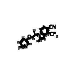 Cc1cc2c(C(F)(F)F)c(C#N)ccc2n1[C@H](C)COc1ccc(F)nc1